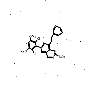 COc1cc(OC)c(Cl)c(-c2cc3cnc(SC)nc3c(CCc3ccccc3)n2)c1Cl